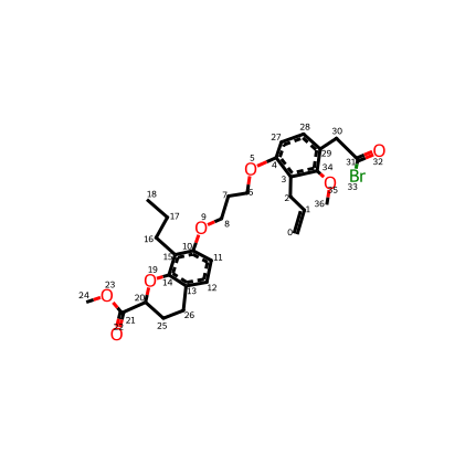 C=CCc1c(OCCCOc2ccc3c(c2CCC)OC(C(=O)OC)CC3)ccc(CC(=O)Br)c1OC